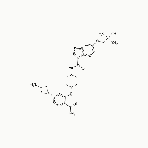 CC(C)(O)COc1ccc2c(C(=O)NC3CCC(Oc4cc(N5CC(N)C5)ccc4C(N)=O)CC3)cnn2c1